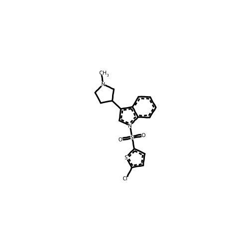 CN1CCC(c2cn(S(=O)(=O)c3ccc(Cl)s3)c3ccccc23)C1